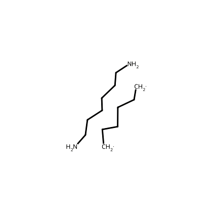 NCCCCCCN.[CH2]CCCC[CH2]